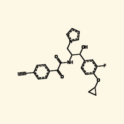 C#Cc1ccc(C(=O)C(=O)NC(Cn2cccc2)C(O)c2ccc(OC3CC3)c(F)c2)cc1